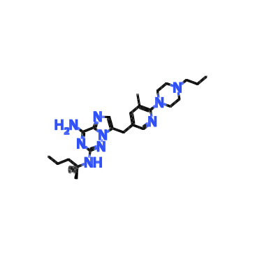 CCC[C@H](C)Nc1nc(N)c2ncc(Cc3cnc(N4CCN(CCC)CC4)c(C)c3)n2n1